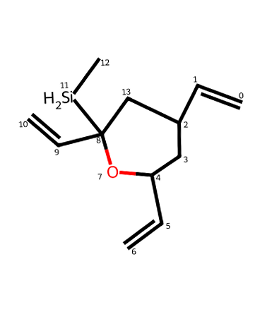 C=CC1CC(C=C)OC(C=C)([SiH2]C)C1